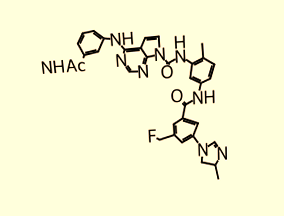 CC(=O)Nc1cccc(Nc2ncnc3c2ccn3C(=O)Nc2cc(NC(=O)c3cc(CF)cc(N4C=NC(C)C4)c3)ccc2C)c1